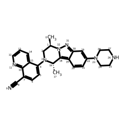 C[C@@H]1CN(c2ccc(C#N)c3ncccc23)[C@@H](C)c2c3ccc(N4CCNCC4)cc3nn21